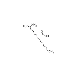 CCCCCCCCCCCCC(C)N.O=CO